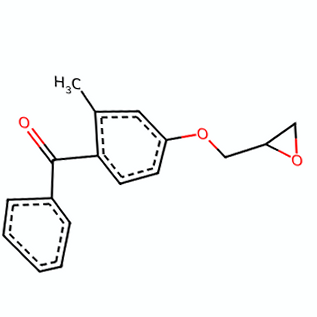 Cc1cc(OCC2CO2)ccc1C(=O)c1ccccc1